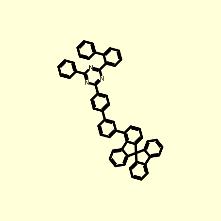 c1ccc(-c2nc(-c3ccc(-c4cccc(-c5cccc6c5-c5ccccc5C65c6ccccc6-c6ccccc65)c4)cc3)nc(-c3ccccc3-c3ccccc3)n2)cc1